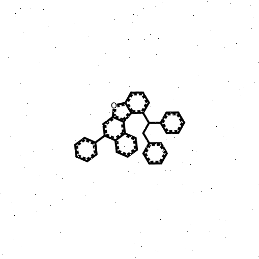 c1ccc(CC(c2ccccc2)c2cccc3oc4cc(-c5ccccc5)c5ccccc5c4c23)cc1